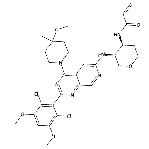 C=CC(=O)N[C@H]1CCOC[C@H]1Nc1cc2c(N3CCC(C)(OC)CC3)nc(-c3c(Cl)c(OC)cc(OC)c3Cl)nc2cn1